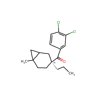 CCC[C@]1(C(=O)c2ccc(Cl)c(Cl)c2)CCC2(C)CC2C1